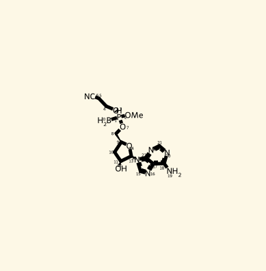 B[PH](OC)(OCCC#N)OC[C@@H]1C[C@H](O)[C@H](n2cnc3c(N)ncnc32)O1